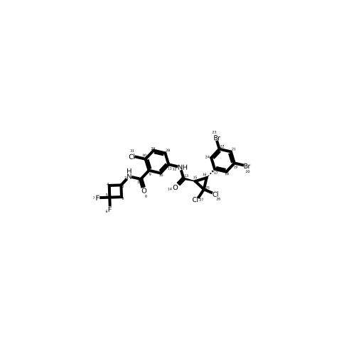 O=C(NC1CC(F)(F)C1)c1cc(NC(=O)[C@H]2[C@H](c3cc(Br)cc(Br)c3)C2(Cl)Cl)ccc1Cl